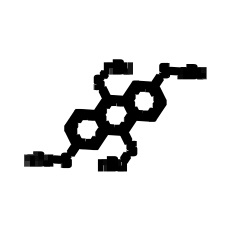 CCCCSc1ccc2c(SCCCC)c3cc(SCCCC)ccc3c(SCCCC)c2c1